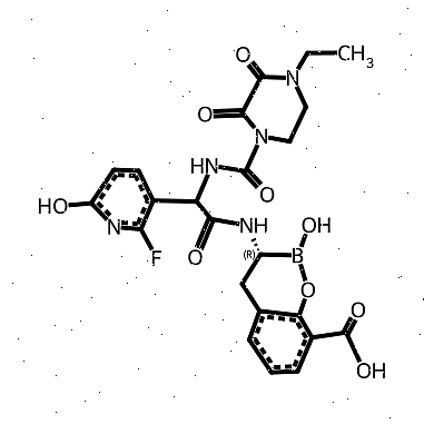 CCN1CCN(C(=O)NC(C(=O)N[C@H]2Cc3cccc(C(=O)O)c3OB2O)c2ccc(O)nc2F)C(=O)C1=O